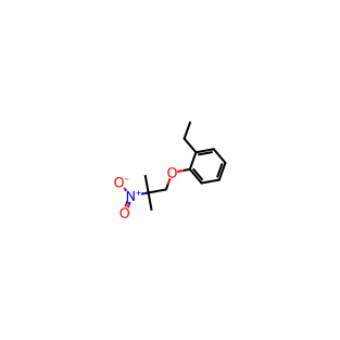 CCc1ccccc1OCC(C)(C)[N+](=O)[O-]